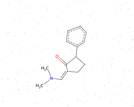 CN(C)C=C1CCC(c2ccccc2)C1=O